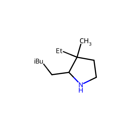 CCC(C)CC1NCCC1(C)CC